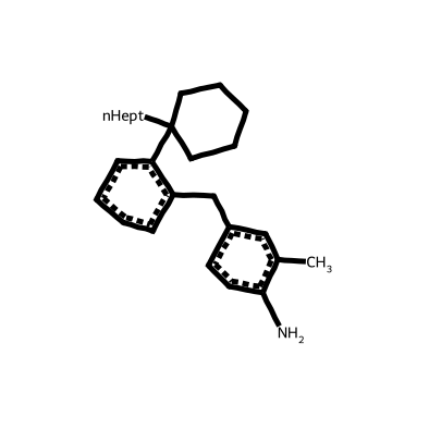 CCCCCCCC1(c2ccccc2Cc2ccc(N)c(C)c2)CCCCC1